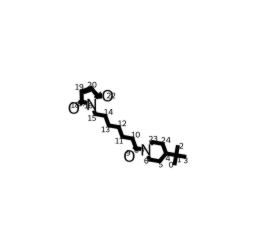 CC(C)(C)C1CCN(C(=O)CCCCCCN2C(=O)C=CC2=O)CC1